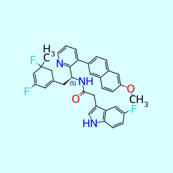 COc1ccc2cc(-c3cccnc3[C@H](CC3=CC(F)=CC(C)(F)C3)NC(=O)Cc3c[nH]c4ccc(F)cc34)ccc2c1